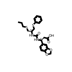 CCCSC[C@@H](CSc1ccccc1)NC(=O)N[C@@H](CC(=O)O)c1ccc2c(c1)OCO2